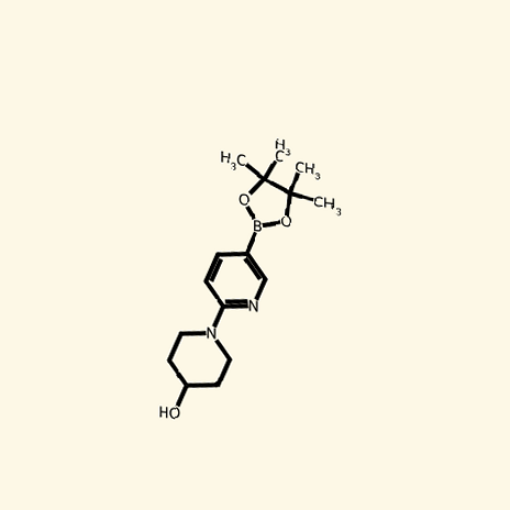 CC1(C)OB(c2ccc(N3CCC(O)CC3)nc2)OC1(C)C